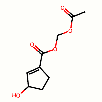 CC(=O)OCOC(=O)C1=CC(O)CC1